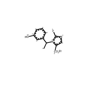 CCOC(=O)c1cnc(F)n1C(C)c1cccc(O)c1